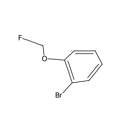 FCOc1[c]cccc1Br